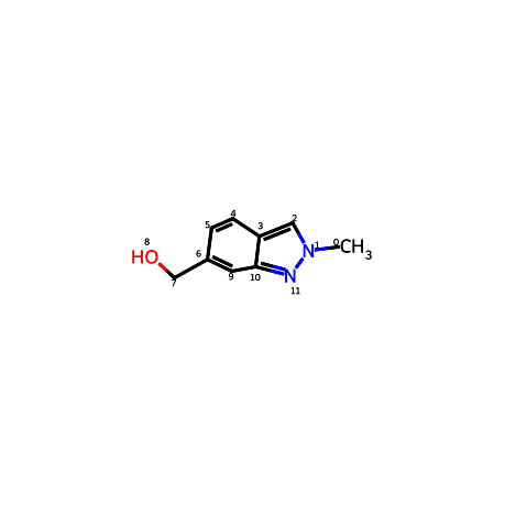 Cn1cc2ccc(CO)cc2n1